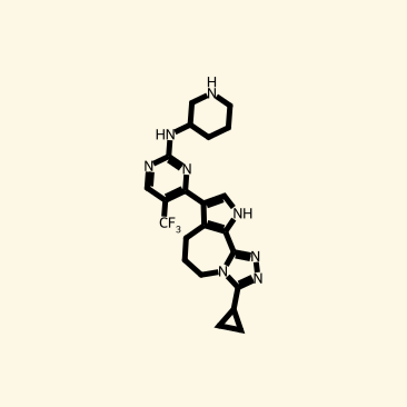 FC(F)(F)c1cnc(NC2CCCNC2)nc1-c1c[nH]c2c1CCCn1c-2nnc1C1CC1